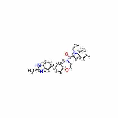 CCn1c(C(=O)N2CCOc3ccc(-c4ccc5[nH]c(C)nc5c4)cc3C2)cc2ccccc21